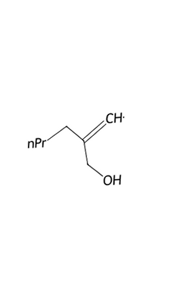 [CH]=C(CO)CCCC